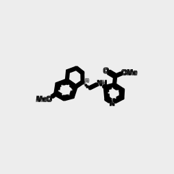 COC(=O)c1ccncc1NC[C@H]1CCCc2cc(OC)ccc21